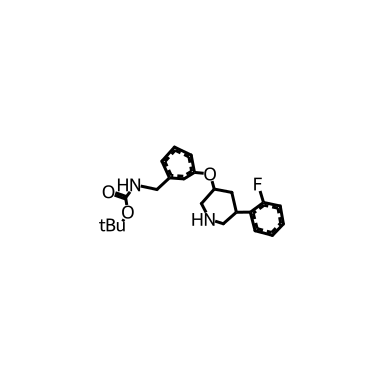 CC(C)(C)OC(=O)NCc1cccc(OC2CNCC(c3ccccc3F)C2)c1